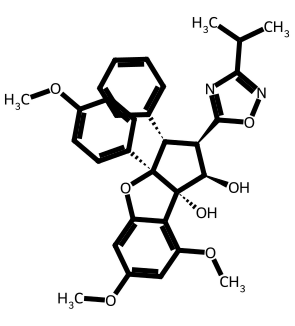 COc1ccc([C@@]23Oc4cc(OC)cc(OC)c4[C@]2(O)[C@H](O)[C@H](c2nc(C(C)C)no2)[C@H]3c2ccccc2)cc1